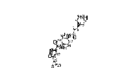 O=C(CCN1CCNCC1)N[C@H]1CC[C@H](NC(=O)c2cc(C3CC3)on2)CC1